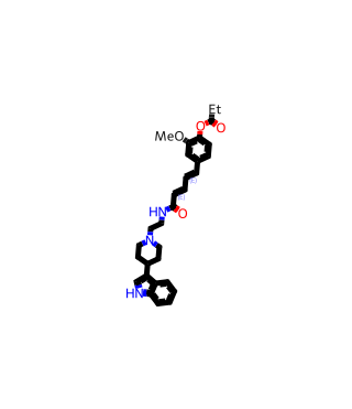 CCC(=O)Oc1ccc(/C=C/C=C/C(=O)NCCN2CCC(c3c[nH]c4ccccc34)CC2)cc1OC